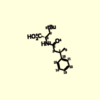 C[C@H](CC(=O)N[C@@H](CC(C)(C)C)C(=O)O)c1ccccc1